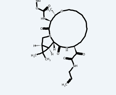 C=CCNC(=O)C(=O)[C@@H]1CCCCCCCO[C@@H](C)[C@H](NC(=O)OC(C)(C)C)C(=O)N2C[C@H]3[C@@H]([C@H]2C(=O)N1)C3(C)C